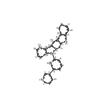 c1cncc(-c2cccc(-n3c4cc5sc6ccccc6c5cc4c4ncccc43)n2)c1